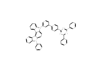 c1ccc(-c2nc(-c3ccccc3)nc(-c3ccc(-c4cccc(-n5c6ccccc6c6c7c8ccccc8n(-c8ccccc8)c7ccc65)c4)cc3)n2)cc1